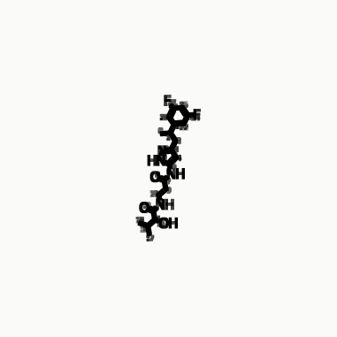 CC(Cc1cc(NC(=O)CCNC(=O)C(O)C(C)C)[nH]n1)c1cc(F)cc(F)c1